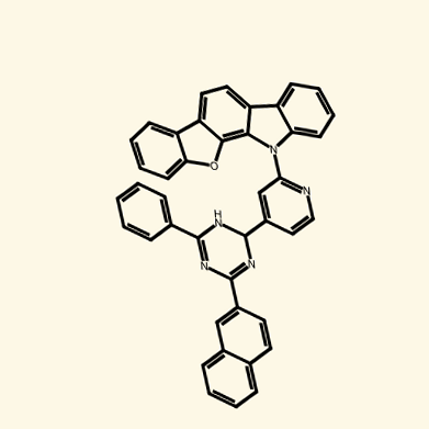 c1ccc(C2=NC(c3ccc4ccccc4c3)=NC(c3ccnc(-n4c5ccccc5c5ccc6c7ccccc7oc6c54)c3)N2)cc1